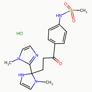 CN1C=CNC1(CCC(=O)c1ccc(NS(C)(=O)=O)cc1)c1nccn1C.Cl